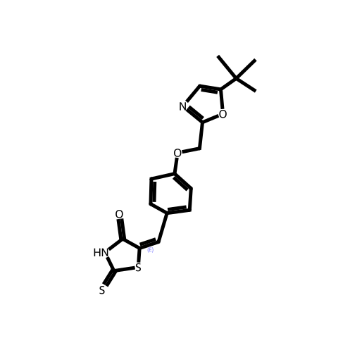 CC(C)(C)c1cnc(COc2ccc(/C=C3/SC(=S)NC3=O)cc2)o1